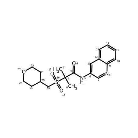 CC(C)(C(=O)Nc1cnc2ccccc2c1)S(=O)(=O)CC1CCOCC1